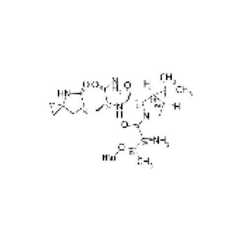 C[C@H](OC(C)(C)C)[C@H](N)C(=O)N1C[C@H]2[C@@H]([C@H]1C(=O)N[C@@H](C[C@@H]1CC3(CC3)NC1=O)C(N)=O)C2(C)C